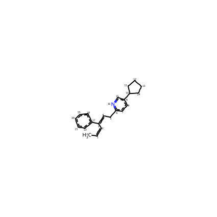 C/C=C\C(=C/Cc1ccc(C2CCCC2)cn1)c1ccccc1